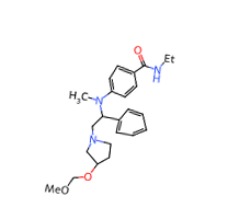 CCNC(=O)c1ccc(N(C)C(CN2CCC(OCOC)C2)c2ccccc2)cc1